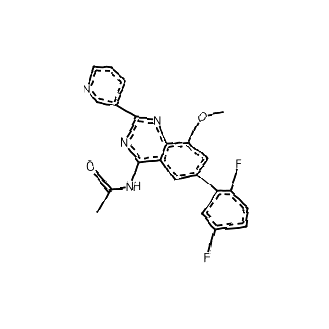 COc1cc(-c2cc(F)ccc2F)cc2c(NC(C)=O)nc(-c3cccnc3)nc12